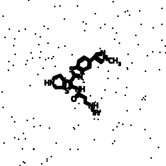 CC(C)NCCC(=O)Nc1sc2c(c1-c1nc3cc(-c4cnn(C)c4)ccc3s1)CCNC2